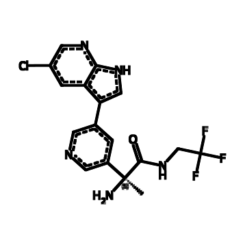 C[C@@](N)(C(=O)NCC(F)(F)F)c1cncc(-c2c[nH]c3ncc(Cl)cc23)c1